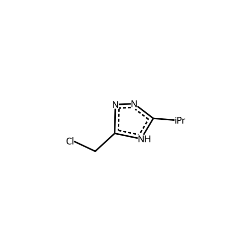 CC(C)c1nnc(CCl)[nH]1